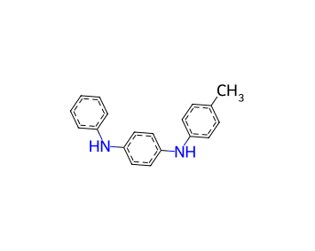 Cc1ccc(Nc2ccc(Nc3ccccc3)cc2)cc1